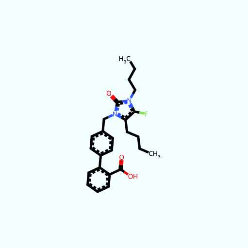 CCCCc1c(F)n(CCCC)c(=O)n1Cc1ccc(-c2ccccc2C(=O)O)cc1